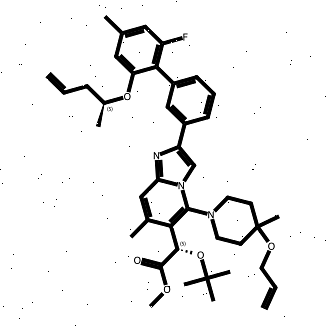 C=CCOC1(C)CCN(c2c([C@H](OC(C)(C)C)C(=O)OC)c(C)cc3nc(-c4cccc(-c5c(F)cc(C)cc5O[C@@H](C)CC=C)c4)cn23)CC1